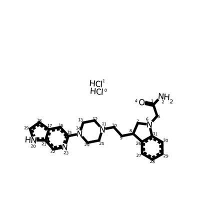 Cl.Cl.NC(=O)CN1CC(CCN2CCN(c3cc4cc[nH]c4cn3)CC2)c2ccccc21